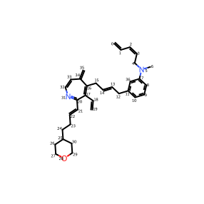 C=C/C=C\CN(C)c1cccc(C/C=C/CC2=C(C=C)C(/C=C/CCC3CCOCC3)=NC=CC2=C)c1